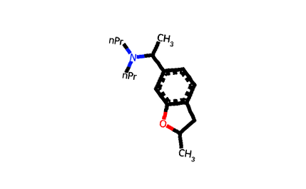 CCCN(CCC)C(C)c1ccc2c(c1)OC(C)C2